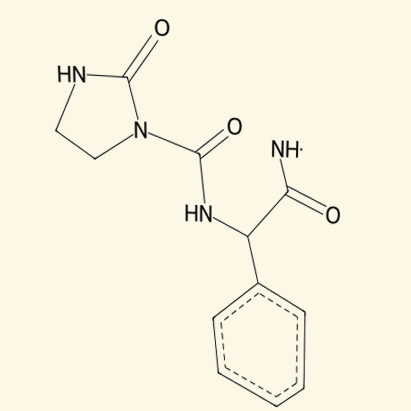 [NH]C(=O)C(NC(=O)N1CCNC1=O)c1ccccc1